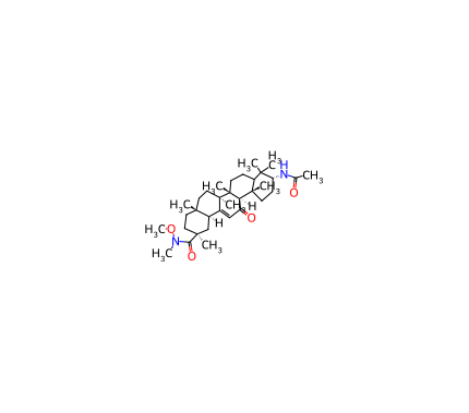 CON(C)C(=O)[C@@]1(C)CC[C@]2(C)CC[C@]3(C)C(=CC(=O)[C@@H]4[C@@]5(C)CC[C@@H](NC(C)=O)C(C)(C)C5CC[C@]43C)[C@H]2C1